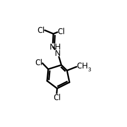 Cc1cc(Cl)cc(Cl)c1NN=C(Cl)Cl